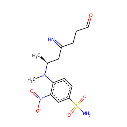 C[C@@H](CC(=N)CCC=O)N(C)c1ccc(S(N)(=O)=O)cc1[N+](=O)[O-]